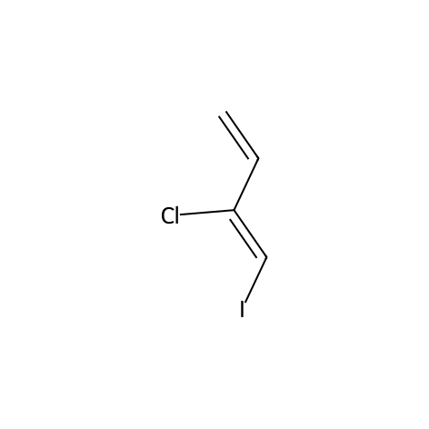 C=CC(Cl)=CI